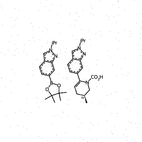 CC(C)n1cc2ccc(B3OC(C)(C)C(C)(C)O3)cc2n1.CC(C)n1cc2ccc(C3=CC[C@H](C)CN3C(=O)O)cc2n1